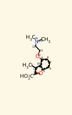 Cc1c(C(=O)O)oc2cccc(OCCN(C)C)c12